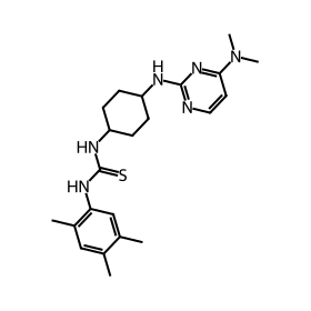 Cc1cc(C)c(NC(=S)NC2CCC(Nc3nccc(N(C)C)n3)CC2)cc1C